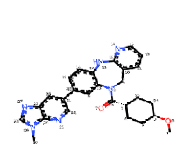 CO[C@H]1CC[C@H](C(=O)N2Cc3cccnc3Nc3ccc(-c4cnc5c(c4)ncn5C)cc32)CC1